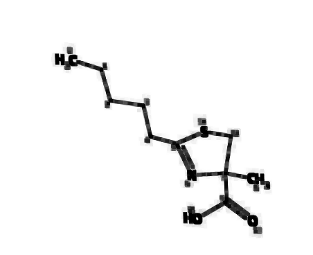 CCCCCC1=NC(C)(C(=O)O)CS1